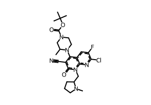 CC1CN(C(=O)OC(C)(C)C)CCN1c1c(C#N)c(=O)n(CC2CCCN2C)c2nc(Cl)c(F)cc12